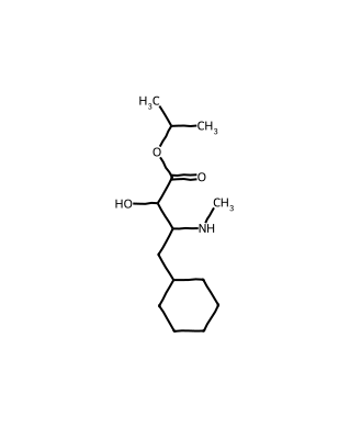 CNC(CC1CCCCC1)C(O)C(=O)OC(C)C